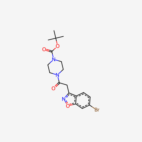 CC(C)(C)OC(=O)N1CCN(C(=O)Cc2noc3cc(Br)ccc23)CC1